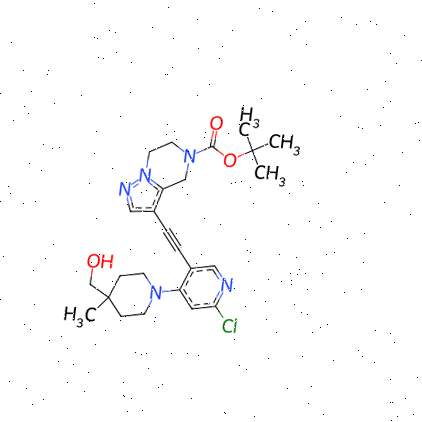 CC1(CO)CCN(c2cc(Cl)ncc2C#Cc2cnn3c2CN(C(=O)OC(C)(C)C)CC3)CC1